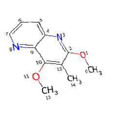 COc1nc2cccnc2c(OC)c1C